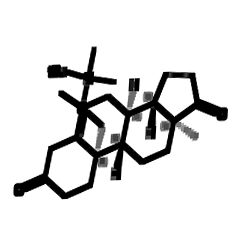 CC1=C2CC(=O)CC[C@]2(CO[Si](C)(C)C(C)(C)C)[C@H]2CC[C@]3(C)C(=O)CC[C@H]3[C@@H]2C1